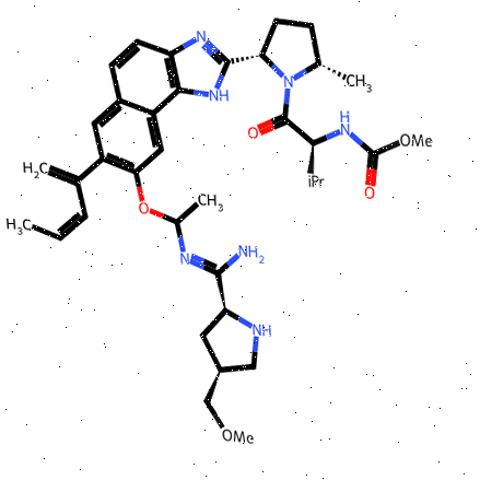 C=C(/C=C\C)c1cc2ccc3nc([C@@H]4CC[C@H](C)N4C(=O)[C@@H](NC(=O)OC)C(C)C)[nH]c3c2cc1OC(C)/N=C(\N)[C@@H]1C[C@H](COC)CN1